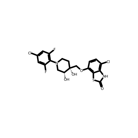 O=c1[nH]c2c(Cl)ccc(OC[C@]3(O)CCN(c4c(F)cc(Cl)cc4F)C[C@H]3O)c2s1